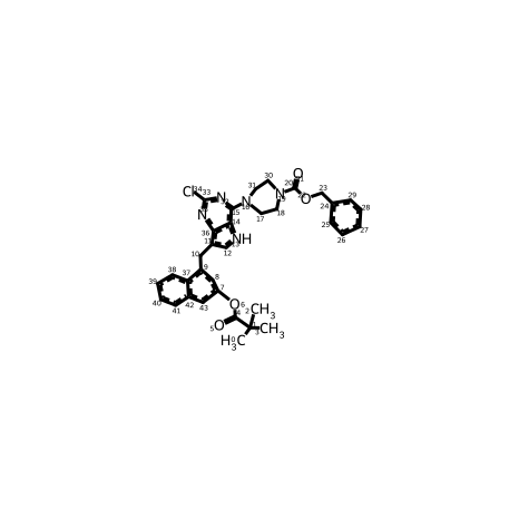 CC(C)(C)C(=O)Oc1cc(Cc2c[nH]c3c(N4CCN(C(=O)OCc5ccccc5)CC4)nc(Cl)nc23)c2ccccc2c1